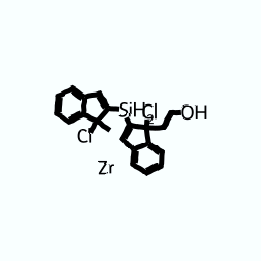 CC1(Cl)C([SiH2]C2=Cc3ccccc3C2(Cl)CCO)=Cc2ccccc21.[Zr]